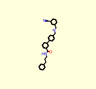 N#Cc1cccc(C[N]Cc2ccc(-c3cccc(C(=O)NCCCc4ccccc4)c3)cc2)c1